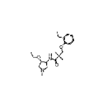 CCOC1CN(C)CC1NC(=O)C(C)(C)COc1ccccc1CC